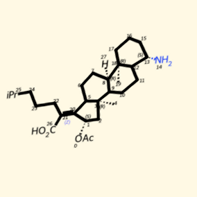 CC(=O)O[C@H]1C[C@@]2(C)C(CC[C@@H]3C2CCC2[C@@H](N)CCC[C@@]23C)/C1=C(\CCCC(C)C)C(=O)O